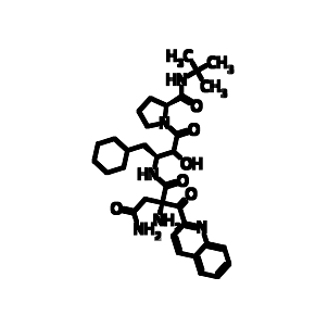 CC(C)(C)NC(=O)[C@@H]1CCCN1C(=O)C(O)[C@H](CC1CCCCC1)NC(=O)[C@@](N)(CC(N)=O)C(=O)c1ccc2ccccc2n1